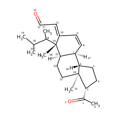 CC(=O)[C@H]1CC[C@H]2[C@@H]3C=C/C(=C/C=O)[C@@](C)(C(C)C(C)C)[C@@H]3CC[C@]12C